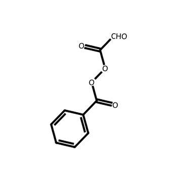 O=CC(=O)OOC(=O)c1ccccc1